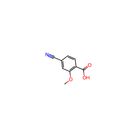 COc1cc(C#N)ccc1C(=O)O